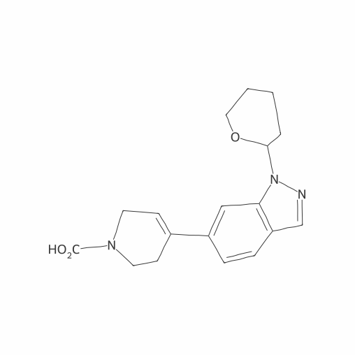 O=C(O)N1CC=C(c2ccc3cnn(C4CCCCO4)c3c2)CC1